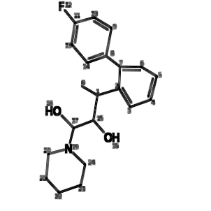 CC(c1ccccc1-c1ccc(F)cc1)C(O)C(O)N1CCCCC1